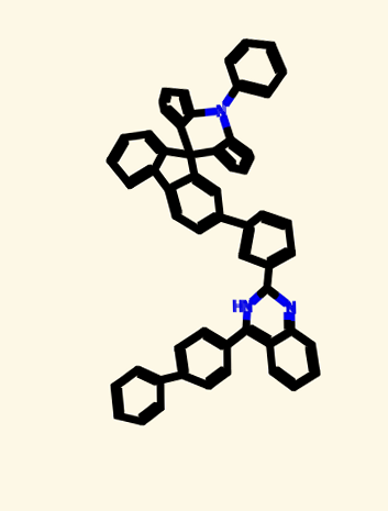 c1ccc(-c2ccc(C3=c4ccccc4=NC(c4cccc(-c5ccc6c(c5)C5(c7ccccc7-6)c6ccccc6N(c6ccccc6)c6ccccc65)c4)N3)cc2)cc1